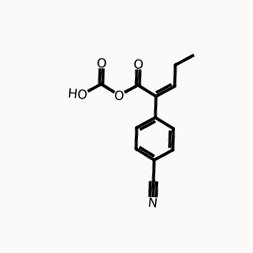 CCC=C(C(=O)OC(=O)O)c1ccc(C#N)cc1